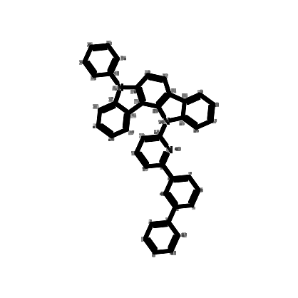 c1ccc(-c2cccc(-c3cccc(-n4c5ccccc5c5ccc6c(c7ccccc7n6-c6ccccc6)c54)n3)c2)cc1